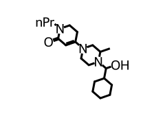 CCCN1CCC(N2CCN(C(O)C3CCCCC3)C(C)C2)=CC1=O